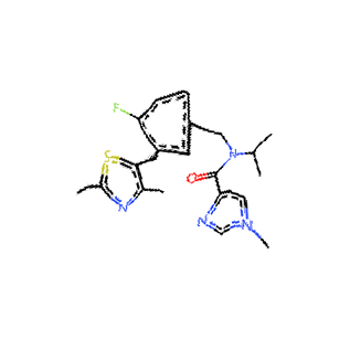 Cc1nc(C)c(-c2cc(CN(C(=O)c3cn(C)cn3)C(C)C)ccc2F)s1